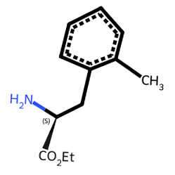 CCOC(=O)[C@@H](N)Cc1ccccc1C